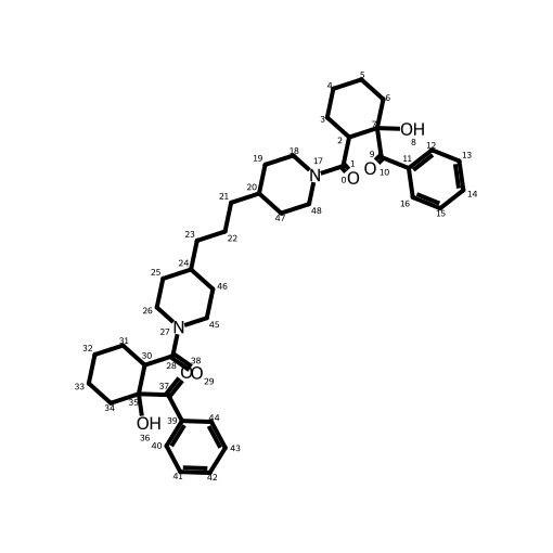 O=C(C1CCCCC1(O)C(=O)c1ccccc1)N1CCC(CCCC2CCN(C(=O)C3CCCCC3(O)C(=O)c3ccccc3)CC2)CC1